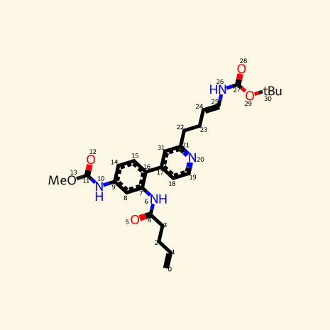 C=CCCC(=O)Nc1cc(NC(=O)OC)ccc1-c1ccnc(CCC=CNC(=O)OC(C)(C)C)c1